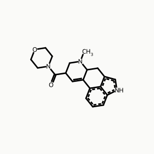 CN1CC(C(=O)N2CCOCC2)C=C2c3cccc4[nH]cc(c34)CC21